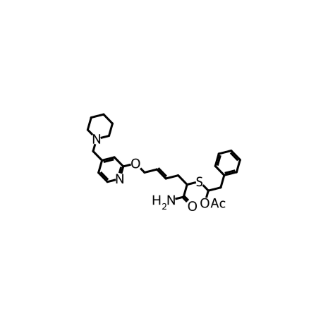 CC(=O)OC(Cc1ccccc1)SC(CC=CCOc1cc(CN2CCCCC2)ccn1)C(N)=O